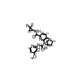 COc1ccnc(NC(=O)N2c3nc(C(=O)NC4CC4(F)F)ccc3N3CC[C@H]2C3)c1